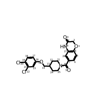 O=C1COc2ccc(C(=O)N3CCC(COc4ccc(Cl)c(Cl)c4)CC3)cc2N1